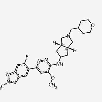 COc1cc(-c2cc3cn(C)nc3cc2F)nnc1NC1C[C@@H]2CN(CC3CCOCC3)C[C@@H]2C1